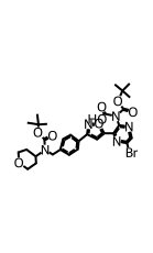 CC(C)(C)OC(=O)N(C(=O)O)c1ncc(Br)nc1-c1cc(-c2ccc(CN(C(=O)OC(C)(C)C)C3CCOCC3)cc2)no1